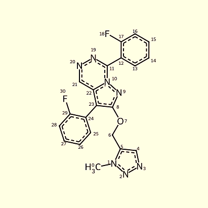 Cn1nncc1COc1nn2c(-c3ccccc3F)nncc2c1-c1ccccc1F